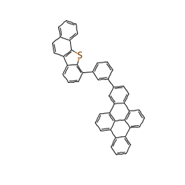 c1cc(-c2ccc3c(c2)c2cccc4c5ccccc5c5cccc3c5c42)cc(-c2cccc3c2sc2c4ccccc4ccc32)c1